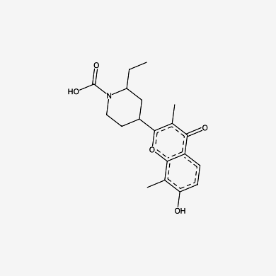 CCC1CC(c2oc3c(C)c(O)ccc3c(=O)c2C)CCN1C(=O)O